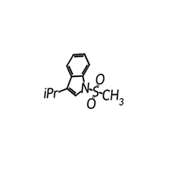 CC(C)c1cn(S(C)(=O)=O)c2ccccc12